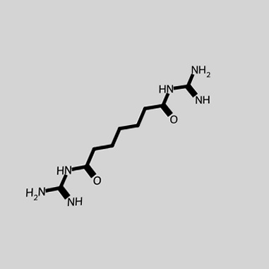 N=C(N)NC(=O)CCCCCC(=O)NC(=N)N